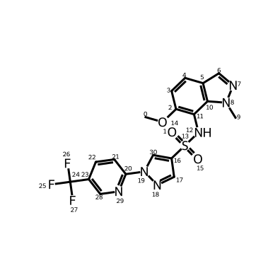 COc1ccc2cnn(C)c2c1NS(=O)(=O)c1cnn(-c2ccc(C(F)(F)F)cn2)c1